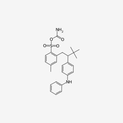 Cc1ccc(S(=O)(=O)OC(N)=O)c(CC(c2ccc(Nc3ccccc3)cc2)C(C)(C)C)c1